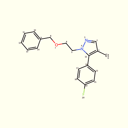 CCc1cnn(CCOCc2ccccc2)c1-c1ccc(F)cc1